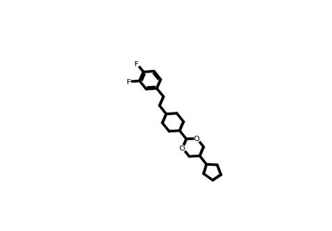 Fc1ccc(CCC2CCC(C3OCC(C4CCCC4)CO3)CC2)cc1F